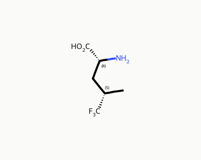 C[C@@H](C[C@@H](N)C(=O)O)C(F)(F)F